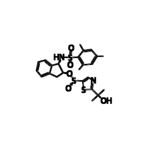 Cc1cc(C)c(S(=O)(=O)N[C@@H]2c3ccccc3C[C@@H]2O[S@](=O)c2cnc(C(C)(C)O)s2)c(C)c1